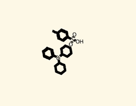 Cc1ccc(S(=O)(=O)O)cc1.c1cc[c]([Bi]([CH]2CCCCC2)[CH]2CCCCC2)cc1